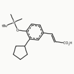 CC(C)(C)[Si](C)(C)Oc1ccc(/C=C/C(=O)O)cc1C1CCCC1